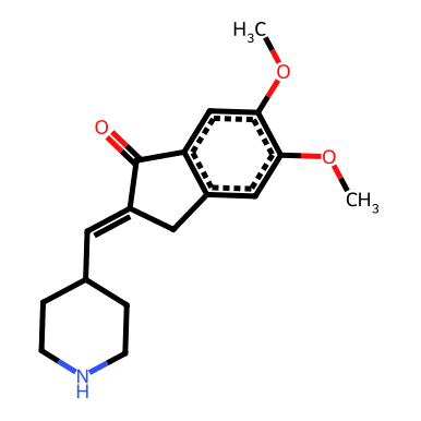 COc1cc2c(cc1OC)C(=O)/C(=C/C1CCNCC1)C2